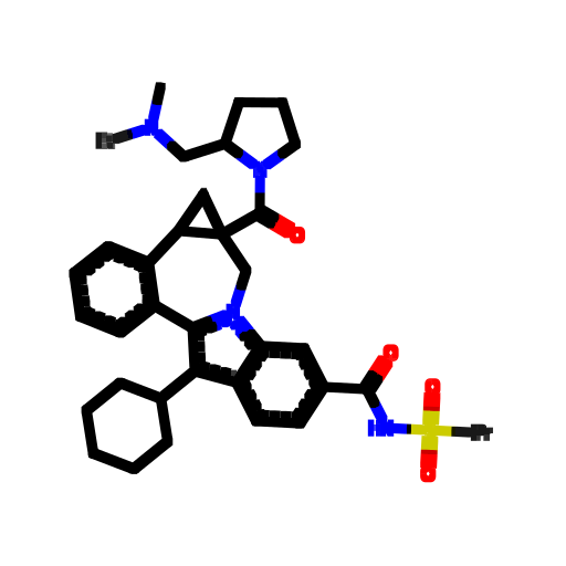 CCN(C)CC1CCCN1C(=O)C12CC1c1ccccc1-c1c(C3CCCCC3)c3ccc(C(=O)NS(=O)(=O)C(C)C)cc3n1C2